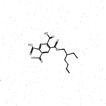 CCCCC(CC)CNC(=O)c1cc(C(=O)O)c(C(=O)O)cc1C(=O)O